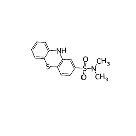 CN(C)S(=O)(=O)c1ccc2c(c1)Nc1ccccc1S2